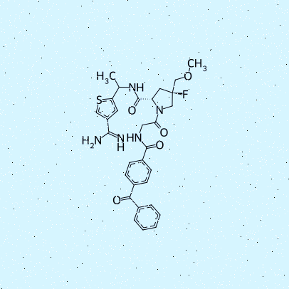 COC[C@@]1(F)C[C@@H](C(=O)NC(C)c2cc(C(=N)N)cs2)N(C(=O)CNC(=O)c2ccc(C(=O)c3ccccc3)cc2)C1